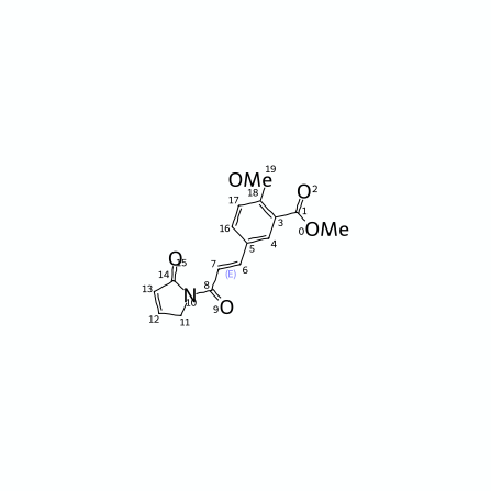 COC(=O)c1cc(/C=C/C(=O)N2CC=CC2=O)ccc1OC